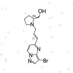 OC[C@@H]1CCCN1C/C=C/c1ccn2ncc(Br)c2n1